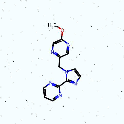 COc1cnc(Cn2ccnc2-c2ncccn2)cn1